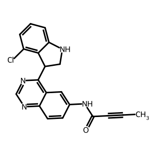 CC#CC(=O)Nc1ccc2ncnc(C3CNc4cccc(Cl)c43)c2c1